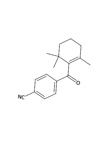 CC1=C(C(=O)c2ccc(C#N)cc2)C(C)(C)CCC1